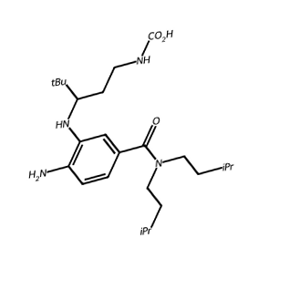 CC(C)CCN(CCC(C)C)C(=O)c1ccc(N)c(NC(CCNC(=O)O)C(C)(C)C)c1